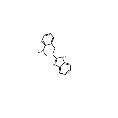 CN(C)c1ccccc1CSc1nc2ncccc2[nH]1